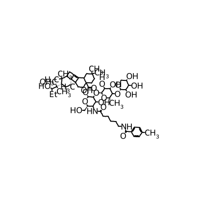 CCC(O)C(C)(C=O)[C@H]1CC[C@]23C(=C4C5CC(C)(C)CCC5(C(=O)O[C@@H]5O[C@H](CO)C(NC(=O)CCCCCNC(=O)c6ccc(C)cc6)C(O)C5O[C@@H]5O[C@H](C)C(O[C@@H]6OC[C@@H](O)C(O)C6O)C(O)C5O)[C@H](O)C[C@]42C)CC3C1(C)C